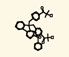 CC(C)(Cl)C(=O)c1ccc(CC2(Cc3ccc(C(=O)C(C)(C)Cl)cc3)c3ccccc3-c3ccc(C(=O)c4ccccc4)cc32)cc1